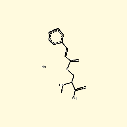 Br.CNC(COC(=O)C=Cc1ccccc1)C(=O)O